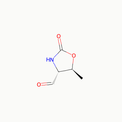 C[C@@H]1OC(=O)N[C@H]1C=O